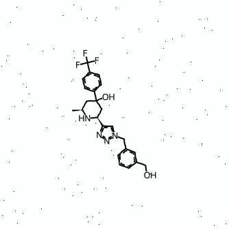 C[C@H]1CC(O)(c2ccc(C(F)(F)F)cc2)C[C@@H](c2cn(Cc3cccc(CO)c3)nn2)N1